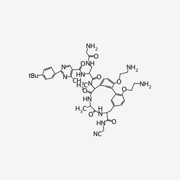 Cc1nc(-c2ccc(C(C)(C)C)cc2)ncc1C(=O)NC(CNC(=O)CN)C(=O)N(C)C1C(=O)NC(C)C(=O)NC(C(=O)NCC#N)Cc2ccc(OCCN)c(c2)-c2cc1ccc2OCCN